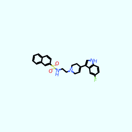 O=S(=O)(NCCN1CC=C(c2c[nH]c3ccc(F)cc23)CC1)c1ccc2ccccc2c1